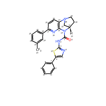 O=C(Nc1ncc(-c2ccccc2)s1)N1c2nc(-c3cccc(C(F)(F)F)c3)ccc2N2CC[C@H]1C2